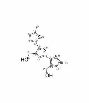 Cc1ccc(-c2sc(-c3sc(C)cc3CO)cc2CO)s1